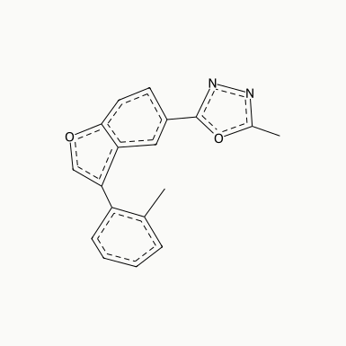 Cc1nnc(-c2ccc3occ(-c4ccccc4C)c3c2)o1